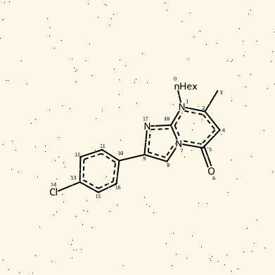 CCCCCCn1c(C)cc(=O)n2cc(-c3ccc(Cl)cc3)nc12